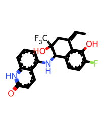 C/C=C1/CC(O)(C(F)(F)F)C(Nc2cccc3[nH]c(=O)ccc23)c2ccc(F)c(O)c21